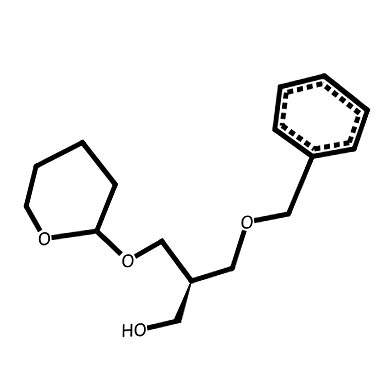 OC[C@H](COCc1ccccc1)COC1CCCCO1